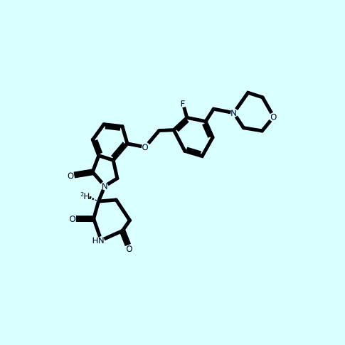 [2H][C@]1(N2Cc3c(OCc4cccc(CN5CCOCC5)c4F)cccc3C2=O)CCC(=O)NC1=O